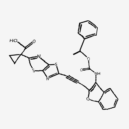 CC(OC(=O)Nc1c(C#Cc2nc3sc(C4(C(=O)O)CC4)nc3s2)oc2ccccc12)c1ccccc1